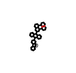 c1ccc(-c2cccc3cc(-c4c5ccccc5c(-c5ccc6c(c5)oc5ccccc56)c5ccccc45)cc(-c4ccccc4)c23)cc1